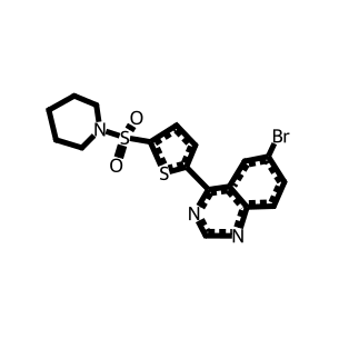 O=S(=O)(c1ccc(-c2ncnc3ccc(Br)cc23)s1)N1CCCCC1